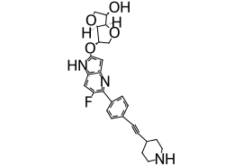 O[C@@H]1CO[C@H]2[C@@H]1OC[C@H]2Oc1cc2nc(-c3ccc(C#CC4CCNCC4)cc3)c(F)cc2[nH]1